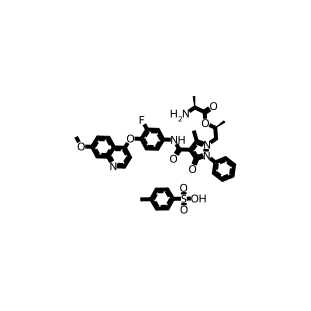 COc1ccc2c(Oc3ccc(NC(=O)c4c(C)n(C[C@H](C)OC(=O)[C@H](C)N)n(-c5ccccc5)c4=O)cc3F)ccnc2c1.Cc1ccc(S(=O)(=O)O)cc1